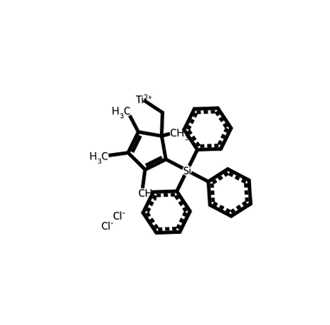 CC1=C(C)C(C)([CH2][Ti+2])C([Si](c2ccccc2)(c2ccccc2)c2ccccc2)=C1C.[Cl-].[Cl-]